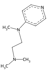 CN(C)CCN(C)c1ccncc1